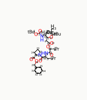 CC[C@H](C)[C@@H](NC(=O)OC(C)(C)C)[C@H](CC(=O)O[C@H](C(=O)N[C@@H](CC(C)C)C(=O)N1CCC[C@H]1C(=O)OCc1ccccc1)C(C)C)O[Si](C)(C)C(C)(C)C